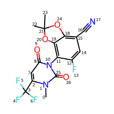 Cn1c(C(F)(F)F)cc(=O)n(-c2c(F)cc(C#N)c3c2OC(C)(C)O3)c1=O